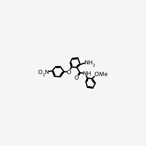 COc1ccccc1NC(=O)c1c(N)cccc1Oc1ccc([N+](=O)[O-])cc1